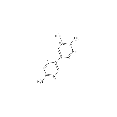 Cc1ncc(-c2cnc(N)nc2)cc1N